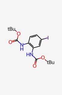 CC(C)(C)OC(=O)Nc1ccc(I)cc1NC(=O)OC(C)(C)C